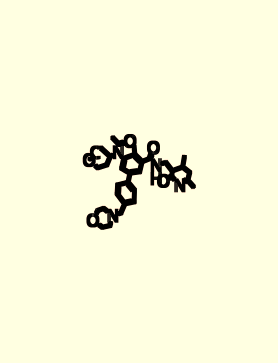 CC(=O)N(c1cc(-c2ccc(CN3CCOCC3)cc2)cc(C(=O)NCC2C(=O)N=C(C)CC2C)c1C)C1CCOCC1